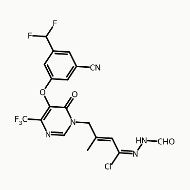 C/C(=C\C(Cl)=N/NC=O)Cn1cnc(C(F)(F)F)c(Oc2cc(C#N)cc(C(F)F)c2)c1=O